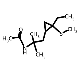 CCC1(SC)CC1CC(C)(C)NC(C)=O